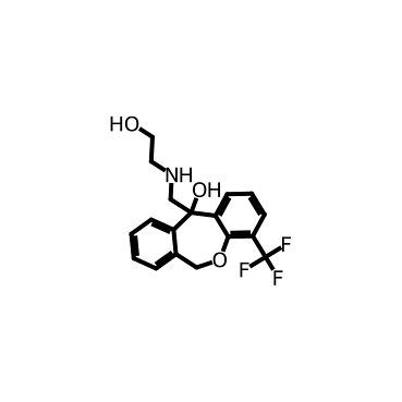 OCCNCC1(O)c2ccccc2COc2c(C(F)(F)F)cccc21